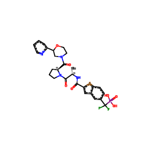 CC(C)(C)[C@H](NC(=O)c1cc2cc(C(F)(F)P(=O)(O)O)ccc2s1)C(=O)N1CCC[C@H]1C(=O)N1CCOC(c2ccccn2)C1